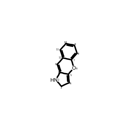 C1=C2NCC=C2Oc2ccccc21